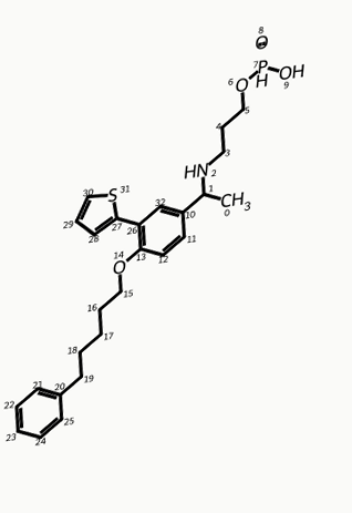 CC(NCCCO[PH](=O)O)c1ccc(OCCCCCc2ccccc2)c(-c2cccs2)c1